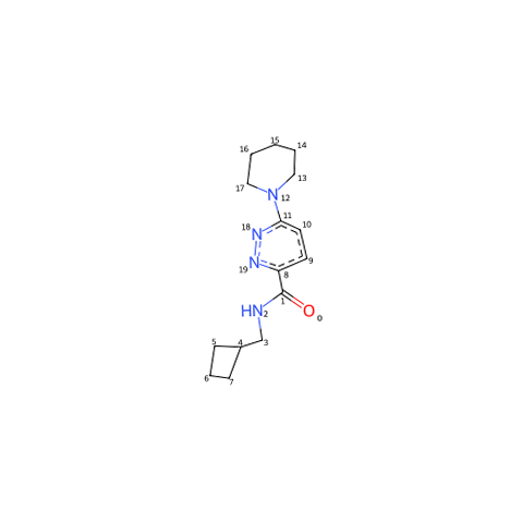 O=C(NCC1CCC1)c1ccc(N2CCCCC2)nn1